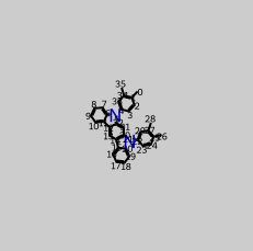 Cc1ccc(-n2c3ccccc3c3cc4c5ccccc5n(-c5ccc(C)c(C)c5)c4cc32)cc1C